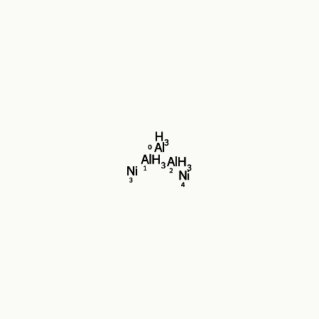 [AlH3].[AlH3].[AlH3].[Ni].[Ni]